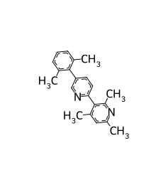 Cc1cc(C)c(-c2ccc(-c3c(C)cccc3C)cn2)c(C)n1